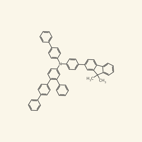 CC1(C)c2ccccc2-c2ccc(-c3ccc(N(c4ccc(-c5ccccc5)cc4)c4ccc(-c5ccc(-c6ccccc6)cc5)c(-c5ccccc5)c4)cc3)cc21